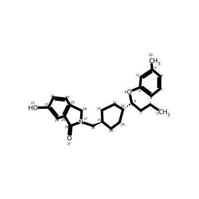 CCCC(Oc1cccc(C)c1)[C@H]1CC[C@H](CN2Cc3ccc(O)cc3C2=O)CC1